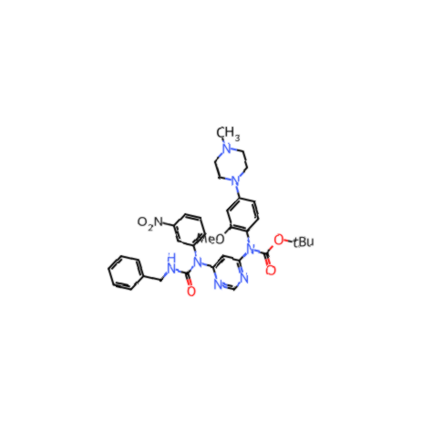 COc1cc(N2CCN(C)CC2)ccc1N(C(=O)OC(C)(C)C)c1cc(N(C(=O)NCc2ccccc2)c2cccc([N+](=O)[O-])c2)ncn1